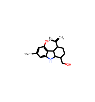 C=C(C)C1CCC(CO)C2Nc3cc(CCCCC)cc(O)c3C12